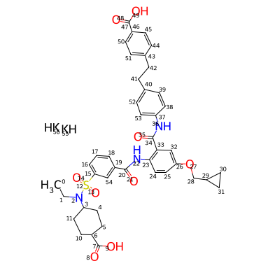 CCN(C1CCC(C(=O)O)CC1)S(=O)(=O)c1cccc(C(=O)Nc2ccc(OCC3CC3)cc2C(=O)Nc2ccc(CCc3ccc(C(=O)O)cc3)cc2)c1.[KH].[KH]